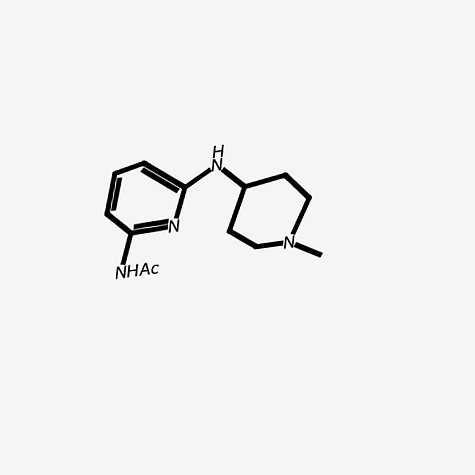 CC(=O)Nc1cccc(NC2CCN(C)CC2)n1